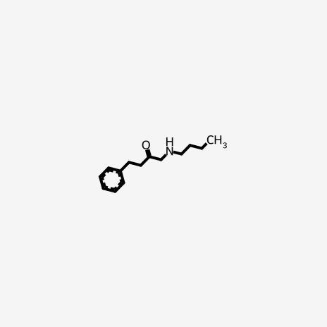 CCCCNCC(=O)CCc1ccccc1